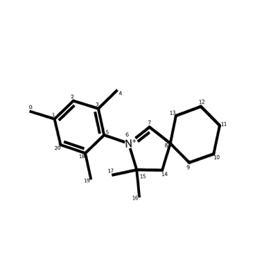 Cc1cc(C)c([N+]2=CC3(CCCCC3)CC2(C)C)c(C)c1